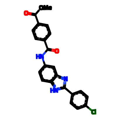 COC(=O)c1ccc(C(=O)Nc2ccc3[nH]c(-c4ccc(Cl)cc4)nc3c2)cc1